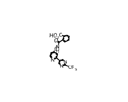 O=C(O)c1ccccc1C(=O)NCc1ccnc(-c2cnc(C(F)(F)F)nc2)c1